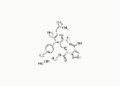 COC(=O)C(OCc1c(C)nc(CC(C)C)c(CN)c1-c1ccc(C)cc1)c1n[nH]cc1C(=O)O.Cl.Cl